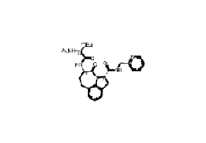 CC[C@H](C)[C@H](NC(C)=O)C(=O)N[C@H]1CCc2cccc3c2N(C1=O)[C@H](C(=O)NCc1ccccn1)C3